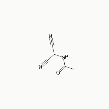 CC(=O)NC(C#N)C#N